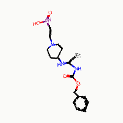 CCC(NC(=O)OCc1ccccc1)NC1CCN(CC[PH](=O)O)CC1